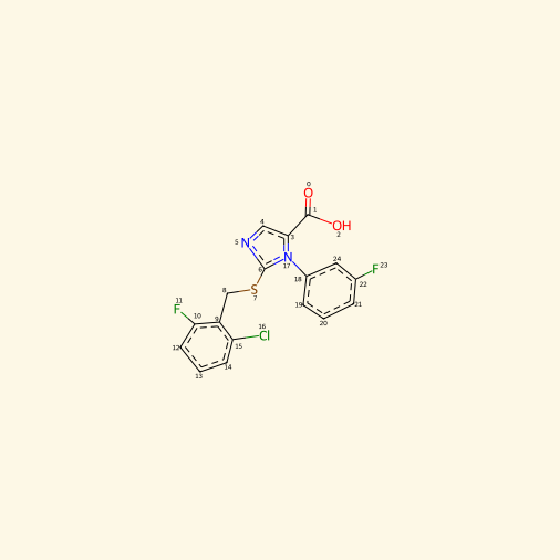 O=C(O)c1cnc(SCc2c(F)cccc2Cl)n1-c1cccc(F)c1